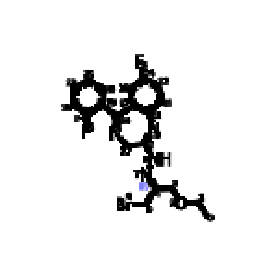 CCOC/C(CBr)=N\NC1=Nc2ccc(F)cc2C(c2ccccc2F)=NC1